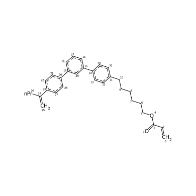 C=CC(=O)OCCCCCCc1ccc(-c2cccc(-c3ccc(C(=C)CCC)cc3)c2)cc1